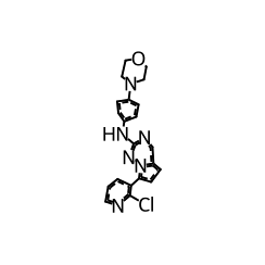 Clc1ncccc1-c1ccc2cnc(Nc3ccc(N4CCOCC4)cc3)nn12